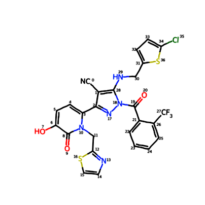 N#Cc1c(-c2ccc(O)c(=O)n2Cc2nccs2)nn(C(=O)c2ccccc2C(F)(F)F)c1NCc1ccc(Cl)s1